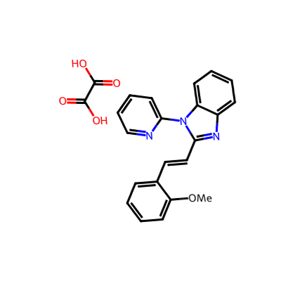 COc1ccccc1C=Cc1nc2ccccc2n1-c1ccccn1.O=C(O)C(=O)O